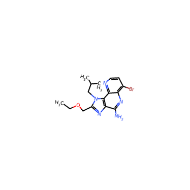 CCOCc1nc2c(N)nc3c(Br)ccnc3c2n1CC(C)C